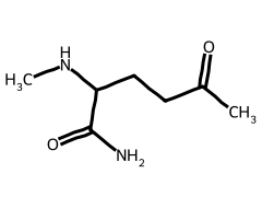 CNC(CCC(C)=O)C(N)=O